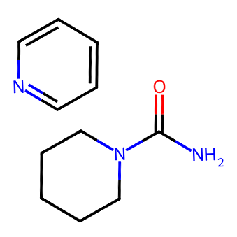 NC(=O)N1CCCCC1.c1ccncc1